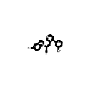 N#C/C(=C/c1cnccc1-c1cccc(Br)c1)n1ccc2cc(Br)ccc21